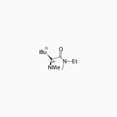 CC[C@H](C)[C@H](NC)C(=O)N(C)CC